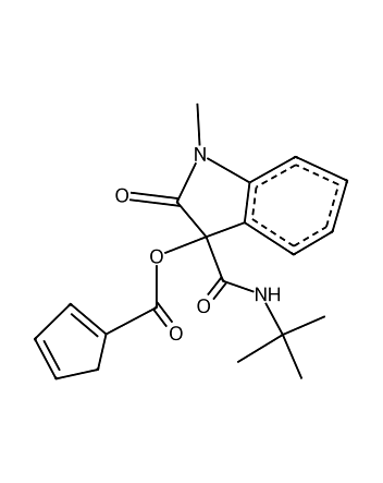 CN1C(=O)C(OC(=O)C2=CC=CC2)(C(=O)NC(C)(C)C)c2ccccc21